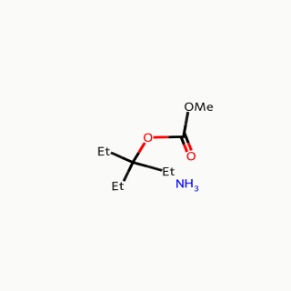 CCC(CC)(CC)OC(=O)OC.N